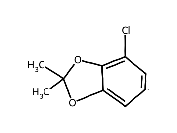 CC1(C)Oc2c[c]cc(Cl)c2O1